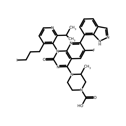 CC(C)c1nccc(CCCI)c1-n1c(=O)nc(N2CCN(C(=O)O)CC2C)c2cc(F)c(-c3cccc4cn[nH]c34)nc21